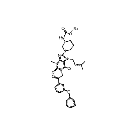 CC(C)=CCn1c(N2CCCC(NC(=O)OC(C)(C)C)C2)nc2c1c(=O)n(CC(=O)c1cccc(Oc3ccccc3)c1)c(=O)n2C